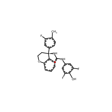 Cc1ccc([C@@]2(NC(=O)Nc3cc(F)c(O)c(F)c3)CCOc3cccnc32)cc1F